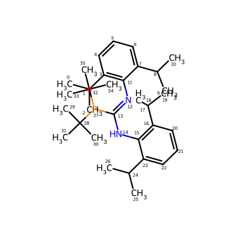 CC(C)c1cccc(C(C)C)c1/N=C(/Nc1c(C(C)C)cccc1C(C)C)P(C(C)(C)C)C(C)(C)C